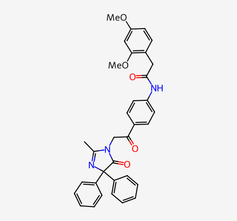 COc1ccc(CC(=O)Nc2ccc(C(=O)CN3C(=O)C(c4ccccc4)(c4ccccc4)N=C3C)cc2)c(OC)c1